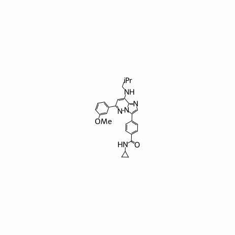 COc1cccc(-c2cc(NCC(C)C)c3ncc(-c4ccc(C(=O)NC5CC5)cc4)n3n2)c1